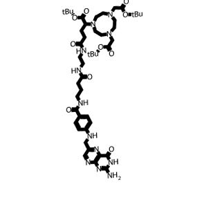 CC(C)(C)OC(=O)CN1CCN(CC(=O)OC(C)(C)C)CCN(C(CCC(=O)NCCNC(=O)CCCNC(=O)c2ccc(NCc3cnc4nc(N)[nH]c(=O)c4n3)cc2)C(=O)OC(C)(C)C)CC1